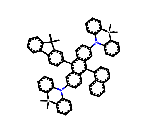 CC1(C)c2ccccc2-c2ccc(-c3c4cc(N5c6ccccc6[Si](C)(C)c6ccccc65)ccc4c(-c4cccc5ccccc45)c4cc(N5c6ccccc6[Si](C)(C)c6ccccc65)ccc34)cc21